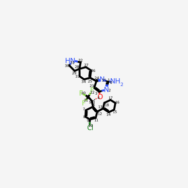 Nc1nc(O[C@H](c2ccc(Cl)cc2C2=CCCCC2)C(F)(F)F)cc(C2=CCC3(CCNC3)CC2)n1